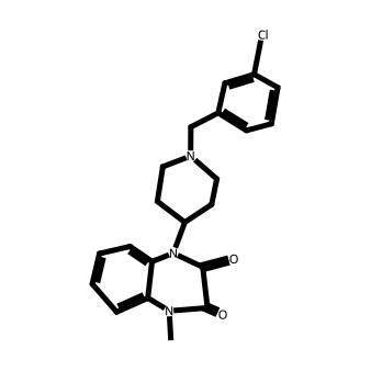 Cn1c(=O)c(=O)n(C2CCN(Cc3cccc(Cl)c3)CC2)c2ccccc21